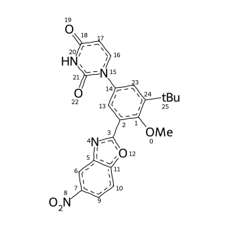 COc1c(-c2nc3cc([N+](=O)[O-])ccc3o2)cc(-n2ccc(=O)[nH]c2=O)cc1C(C)(C)C